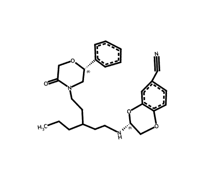 CCCC(CCN[C@H]1COc2ccc(C#N)cc2O1)CCN1C[C@@H](c2ccccc2)OCC1=O